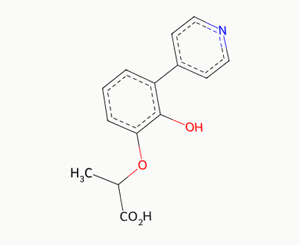 CC(Oc1cccc(-c2ccncc2)c1O)C(=O)O